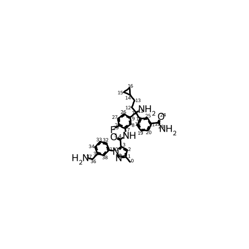 Cc1cc(C(=O)Nc2cc(C(N)(CCC3CC3)c3cccc(C(N)=O)c3)ccc2F)n(-c2cccc(CN)c2)n1